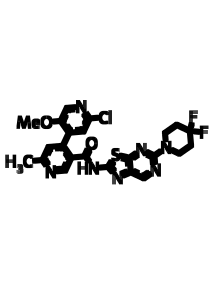 COc1cnc(Cl)cc1-c1cc(C)ncc1C(=O)Nc1nc2cnc(N3CCC(F)(F)CC3)nc2s1